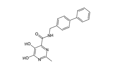 Cc1nc(O)c(O)c(C(=O)NCc2ccc(-c3ccccc3)cc2)n1